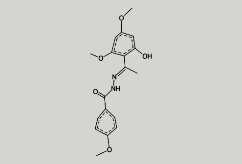 COc1ccc(C(=O)N/N=C(\C)c2c(O)cc(OC)cc2OC)cc1